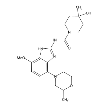 [CH2]C1CN(c2ccc(OC)c3[nH]c(NC(=O)N4CCC(C)(O)CC4)nc23)CCO1